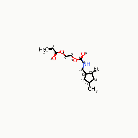 C=CC(=O)OCCOC(=O)NCC1CC(C)CC1CC